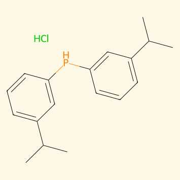 CC(C)c1cccc(Pc2cccc(C(C)C)c2)c1.Cl